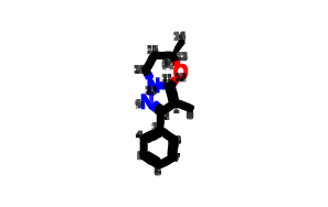 Cc1c(-c2ccccc2)nn2c1O[C@H](C)CC2